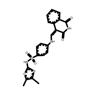 Cc1nc(NS(=O)(=O)c2ccc(N/C=C3\C(=O)NC(=O)c4ccccc43)cc2)oc1C